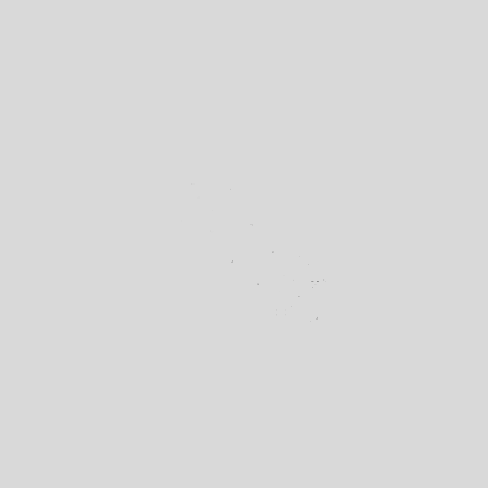 O=C1Cc2cc3cc(-c4ccccc4)ccc3cc2CC12CC1C=CC2C1